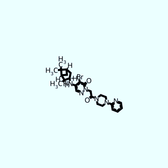 C[C@@H]1[C@H]2C[C@@H](C[C@H]1Nc1cnn(CC(=O)N3CCN(c4ccccn4)CC3)c(=O)c1Br)C2(C)C